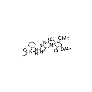 C=CC(=O)N[C@H]1CCCC[C@H]1Nc1ncc2c(n1)N(C)C(=O)N(c1c(Cl)c(OC)cc(OC)c1Cl)C2